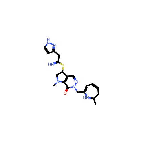 CC1CC=CC=C(Cn2ncc3c(c2=O)N(C)CC3SC(=N)Cc2cc[nH]n2)N1